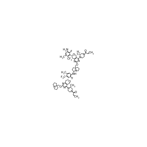 C=CC(=O)N1CCN(c2nc(OCC34CCCN3C(Nc3cc(C)c(C(F)(F)F)c([C@H]5Cc6nc(OCC78CCCN7CCC8)nc(N7CCN(C(=O)C=C)C[C@@H]7C)c6CO5)c3F)CC4)nc3c2CO[C@H](c2c(F)c(N)cc(C)c2C(F)(F)F)C3)[C@@H](C)C1